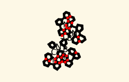 FC(F)(F)c1ccccc1N1c2cc3c(cc2B2c4ccccc4N(c4c(-c5ccccc5)cccc4-c4ccccc4)c4cc(N(c5ccccc5)c5c(-c6ccccc6)cccc5-c5ccccc5)cc1c42)B1c2ccccc2N(c2c(-c4ccccc4)cccc2-c2ccccc2)c2cc(N(c4ccccc4)c4c(-c5ccccc5)cccc4-c4ccccc4)cc(c21)S3